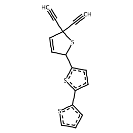 C#CC1(C#C)C=CC(c2ccc(-c3cccs3)s2)S1